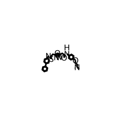 CN(C)CCOc1ccc(NC(=O)Cc2nnc(Cc3nc4ccc(-c5ccccc5)cc4s3)o2)cc1